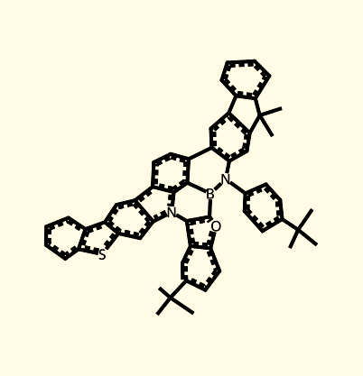 CC(C)(C)c1ccc(N2B3c4oc5ccc(C(C)(C)C)cc5c4-n4c5cc6sc7ccccc7c6cc5c5ccc(c3c54)-c3cc4c(cc32)C(C)(C)c2ccccc2-4)cc1